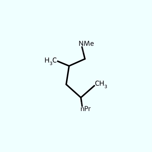 CCCC(C)CC(C)CNC